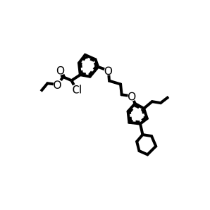 CCCc1cc(C2CCCCC2)ccc1OCCCOc1cccc(C(Cl)C(=O)OCC)c1